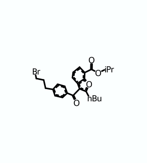 CCCCc1oc2c(C(=O)OC(C)C)cccc2c1C(=O)c1ccc(CCCBr)cc1